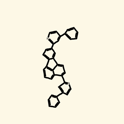 c1ccc(-c2ccnc(-c3ccc4c(c3)-c3ccc(-c5cc(-c6ccccc6)ccn5)c5cccc-4c35)c2)cc1